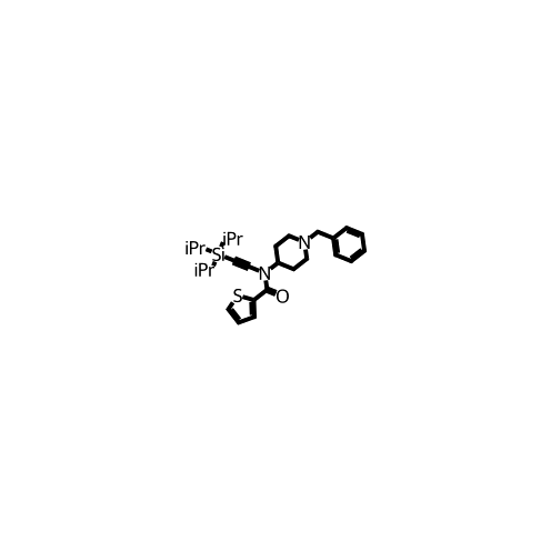 CC(C)[Si](C#CN(C(=O)c1cccs1)C1CCN(Cc2ccccc2)CC1)(C(C)C)C(C)C